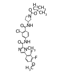 COc1ccc(-c2cnc(C(=O)Nc3ccc(C(=O)N[C@H]4CCN(C(=O)OC(C)(C)C)C4)c(Cl)c3)n2C)c(F)c1F